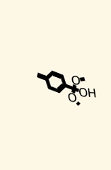 C=C1C=CC(C(O)(OC)OC)=CC1